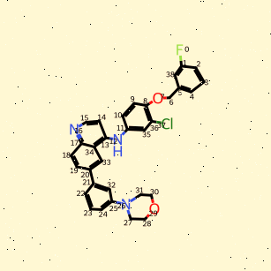 Fc1cccc(COc2ccc(Nc3ccnc4ccc(-c5cccc(N6CCOCC6)c5)cc34)cc2Cl)c1